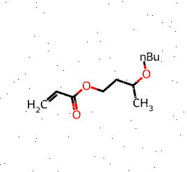 C=CC(=O)OCCC(C)OCCCC